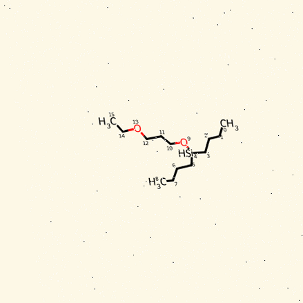 CCCC[SiH](CCCC)OCCCOCC